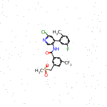 Cc1ccc(F)cc1-c1cc(Cl)ncc1NC(=O)c1cc(CS(C)(=O)=O)cc(C(F)(F)F)c1